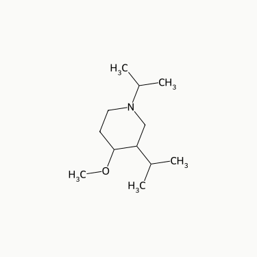 COC1CCN(C(C)C)CC1C(C)C